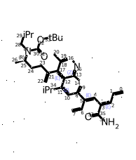 C=C/C=C(\C=C(/C=C)C(=C)\C=C(C(/C(C)=N\C)=C(/C(=C)C)C(=C)CC[C@@H](C)N(CC(C)C)C(=O)OC(C)(C)C)\C(C)C)C(N)=O